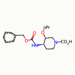 CCCO[C@H]1CN(C(=O)O)CC[C@H]1NC(=O)OCc1ccccc1